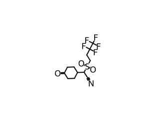 N#CC(C1CCC(=O)CC1)S(=O)(=O)CCC(F)(F)C(F)(F)F